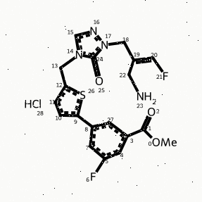 COC(=O)c1cc(F)cc(-c2ccc(Cn3cnn(C/C(=C/F)CN)c3=O)s2)c1.Cl